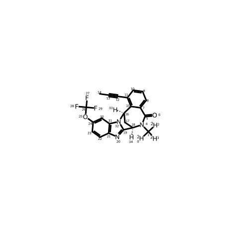 [2H]C([2H])([2H])N1C(=O)c2cccc(C#CC)c2[C@H]2C[C@@H]1c1nc3ccc(OC(F)(F)F)cc3n12